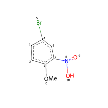 COc1ccc(Br)cc1[N+](=O)O